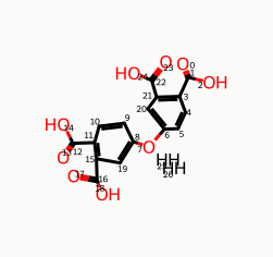 O=C(O)c1ccc(Oc2ccc(C(=O)O)c(C(=O)O)c2)cc1C(=O)O.[HH].[HH]